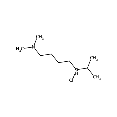 CC(C)[SiH](Cl)CCCCN(C)C